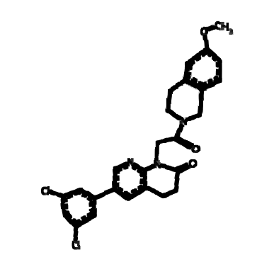 COc1ccc2c(c1)CCN(C(=O)CN1C(=O)CCc3cc(-c4cc(Cl)cc(Cl)c4)cnc31)C2